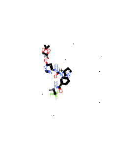 C[C@@H](NC(=O)c1ccc2c(c1)N(C(=O)Nc1cc(OC[C@@H]3COC(C)(C)O3)ncn1)[C@H]1CCN2C1)C(F)(F)F